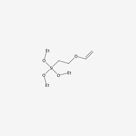 C=COCC[Si](OCC)(OCC)OCC